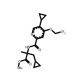 CC(C)(C)OC(=O)C(C)(CC1CC1)NC(=O)c1cc(OCC(F)(F)F)c(C2CC2)cn1